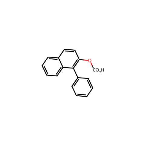 O=C(O)Oc1ccc2ccccc2c1-c1ccccc1